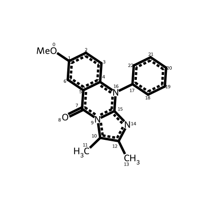 COc1ccc2c(c1)c(=O)n1c(C)c(C)nc1n2-c1ccccc1